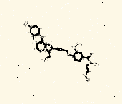 C=Cc1c(C#CCNc2ccc(C(=O)N(C)CCOC)cc2OC)nc2c(N[C@@H]3CCN(C)C[C@@H]3F)cccn12